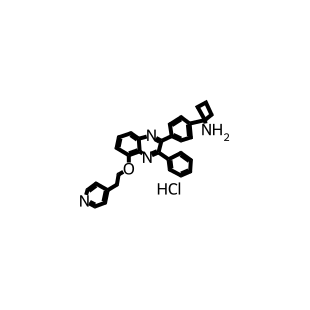 Cl.NC1(c2ccc(-c3nc4cccc(OCCc5ccncc5)c4nc3-c3ccccc3)cc2)CCC1